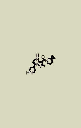 Cc1nn2c(c1C(=O)N1CCCC3(CC3)C1)NCC=C2C1CCNCC1